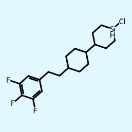 Fc1cc(CCC2CCC(C3CC[SiH](Cl)CC3)CC2)cc(F)c1F